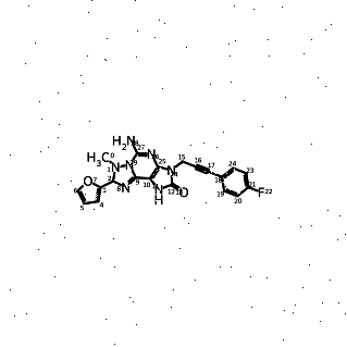 CN1C(c2ccco2)N=C2c3[nH]c(=O)n(CC#Cc4ccc(F)cc4)c3N=C(N)N21